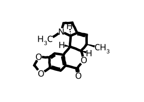 C[C@@H]1C=C2CCN(C)[C@@H]2[C@H]2c3cc4c(cc3C(=O)O[C@H]21)OCO4